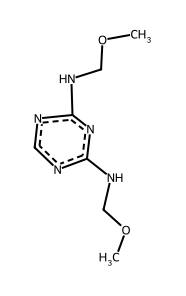 COCNc1ncnc(NCOC)n1